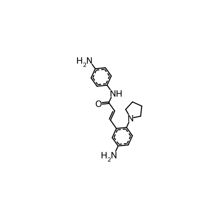 Nc1ccc(NC(=O)C=Cc2cc(N)ccc2N2CCCC2)cc1